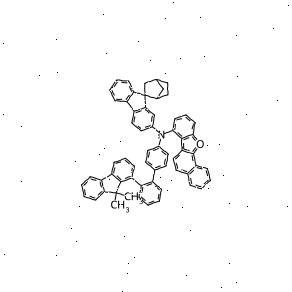 CC1(C)c2ccccc2-c2cccc(-c3ccccc3-c3ccc(N(c4ccc5c(c4)C4(CC6CCC4C6)c4ccccc4-5)c4cccc5oc6c7ccccc7ccc6c45)cc3)c21